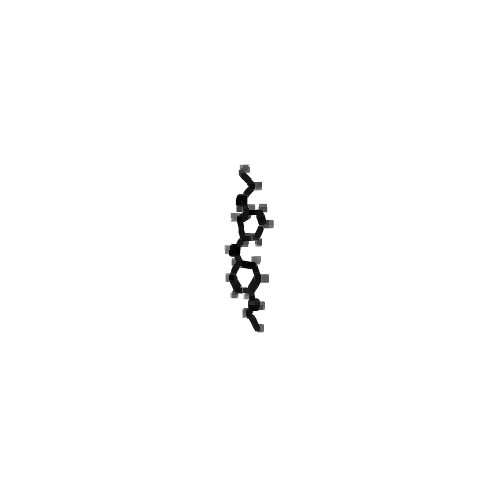 CCOc1ccc(Oc2cccc(OCC)c2)cc1